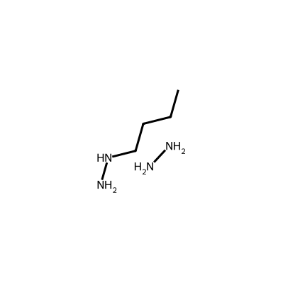 CCCCNN.NN